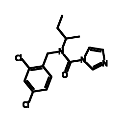 CCC(C)N(Cc1ccc(Cl)cc1Cl)C(=O)n1ccnc1